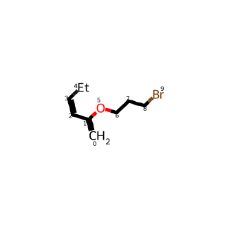 C=C(/C=C\CC)OCCCBr